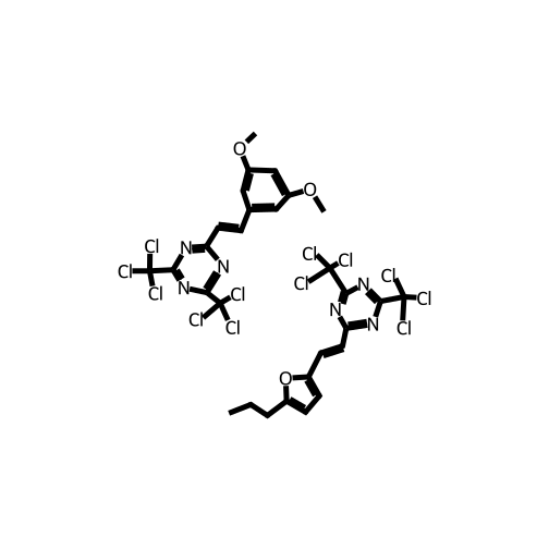 CCCc1ccc(/C=C/c2nc(C(Cl)(Cl)Cl)nc(C(Cl)(Cl)Cl)n2)o1.COc1cc(/C=C/c2nc(C(Cl)(Cl)Cl)nc(C(Cl)(Cl)Cl)n2)cc(OC)c1